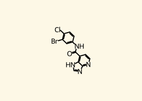 O=C(Nc1ccc(Cl)c(Br)c1)c1ccnc2nc[nH]c12